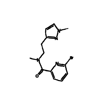 CN(CCc1ccn(C)n1)C(=O)c1cccc(Br)n1